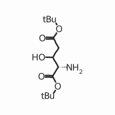 CC(C)(C)OC(=O)CC(O)[C@H](N)C(=O)OC(C)(C)C